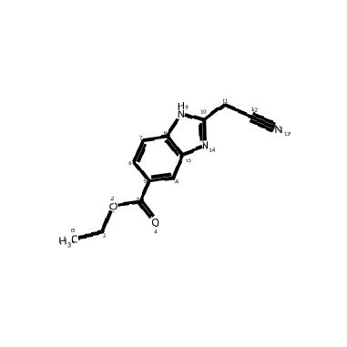 CCOC(=O)c1ccc2[nH]c(CC#N)nc2c1